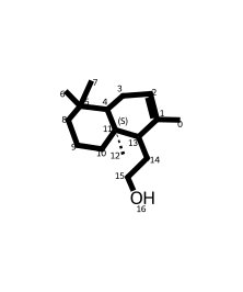 CC1=CCC2C(C)(C)CCC[C@]2(C)C1CCO